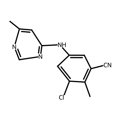 Cc1cc(Nc2cc(Cl)c(C)c(C#N)c2)ncn1